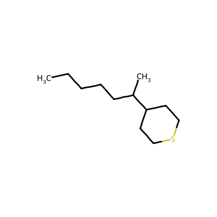 CCCCCC(C)C1CCSCC1